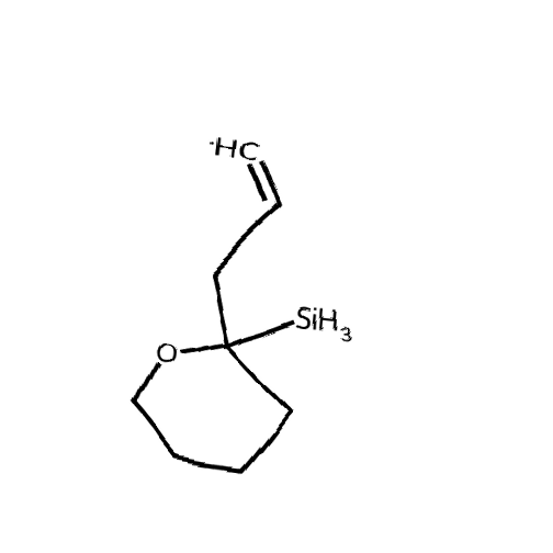 [CH]=CCC1([SiH3])CCCCO1